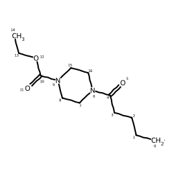 [CH2]CCCC(=O)N1CCN(C(=O)OCC)CC1